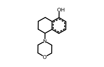 Oc1cccc2c1CCCC2N1CCOCC1